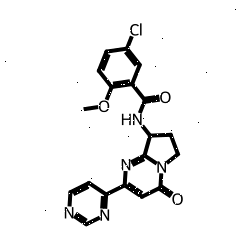 COc1ccc(Cl)cc1C(=O)NC1CCn2c1nc(-c1ccncn1)cc2=O